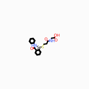 O=C(O)CNC(=O)CCS[Se]c1ccccc1C(=O)Nc1ccccc1